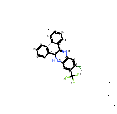 FC(F)(F)c1cc2c(cc1Cl)N=C(c1ccccc1)C(c1ccccc1)N2